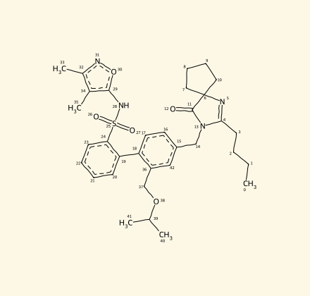 CCCCC1=NC2(CCCC2)C(=O)N1Cc1ccc(-c2ccccc2S(=O)(=O)Nc2onc(C)c2C)c(COC(C)C)c1